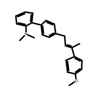 COc1ccc(C(C)=CCc2ccc(-c3ccccc3N(C)C)cc2)cc1